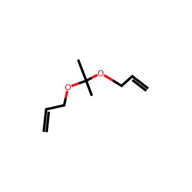 C=CCOC(C)(C)OCC=C